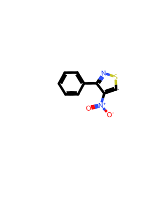 O=[N+]([O-])c1[c]snc1-c1ccccc1